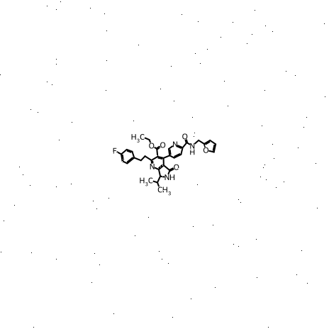 CCOC(=O)c1c(CCc2ccc(F)cc2)nc2c(c1-c1ccc(C(=O)NCc3ccco3)nc1)C(=O)NC2C(C)C